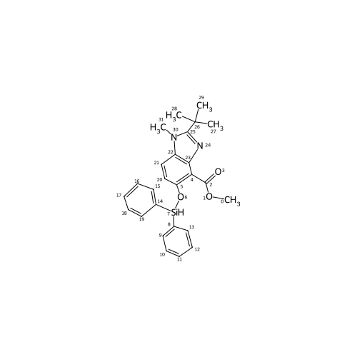 COC(=O)c1c(O[SiH](c2ccccc2)c2ccccc2)ccc2c1nc(C(C)(C)C)n2C